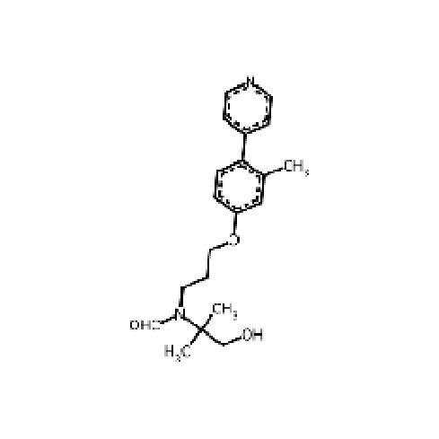 Cc1cc(OCCCN(C=O)C(C)(C)CO)ccc1-c1ccncc1